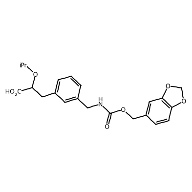 CC(C)OC(Cc1cccc(CNC(=O)OCc2ccc3c(c2)OCO3)c1)C(=O)O